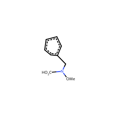 CON(Cc1ccccc1)C(=O)O